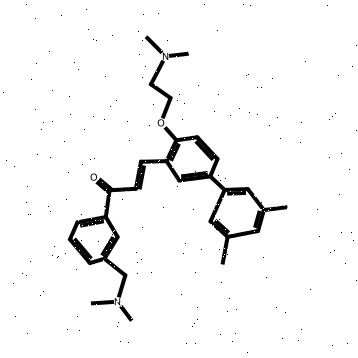 Cc1cc(C)cc(-c2ccc(OCCN(C)C)c(C=CC(=O)c3cccc(CN(C)C)c3)c2)c1